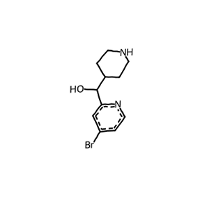 OC(c1cc(Br)ccn1)C1CCNCC1